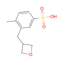 Cc1ccc(S(=O)(=O)O)cc1CC1COC1